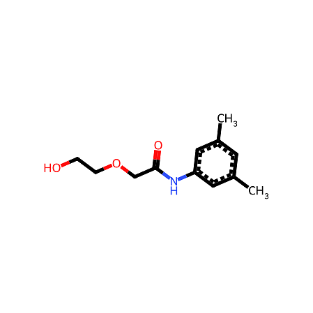 Cc1cc(C)cc(NC(=O)COCCO)c1